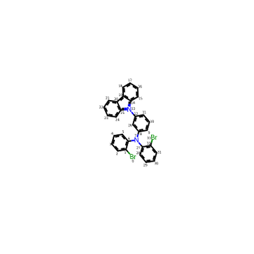 Brc1ccccc1N(c1cccc(-n2c3ccccc3c3ccccc32)c1)c1ccccc1Br